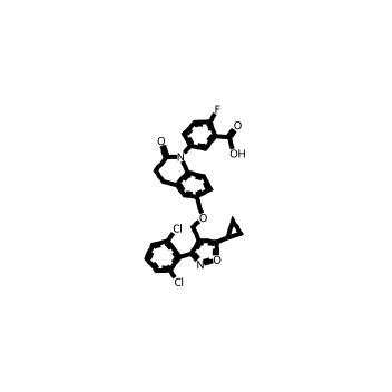 O=C(O)c1cc(N2C(=O)CCc3cc(OCc4c(-c5c(Cl)cccc5Cl)noc4C4CC4)ccc32)ccc1F